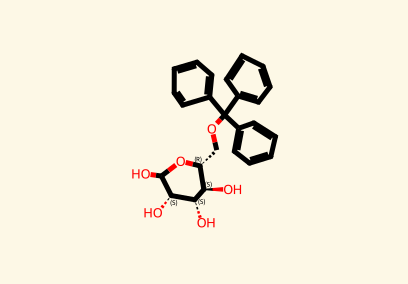 OC1O[C@H](COC(c2ccccc2)(c2ccccc2)c2ccccc2)[C@@H](O)[C@H](O)[C@@H]1O